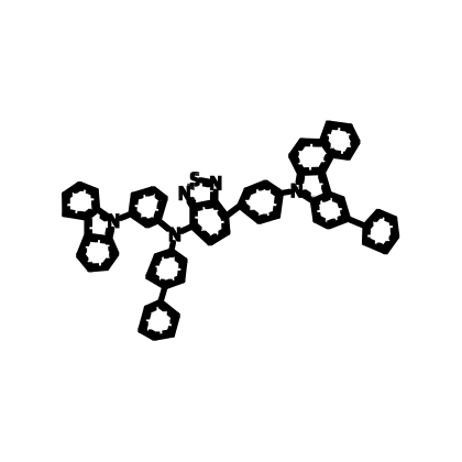 c1ccc(-c2ccc(N(c3cccc(-n4c5ccccc5c5ccccc54)c3)c3ccc(-c4ccc(-n5c6ccc(-c7ccccc7)cc6c6c7ccccc7ccc65)cc4)c4nsnc34)cc2)cc1